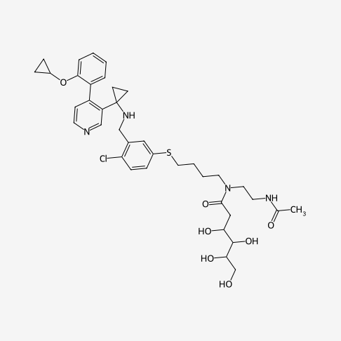 CC(=O)NCCN(CCCCSc1ccc(Cl)c(CNC2(c3cnccc3-c3ccccc3OC3CC3)CC2)c1)C(=O)CC(O)C(O)C(O)CO